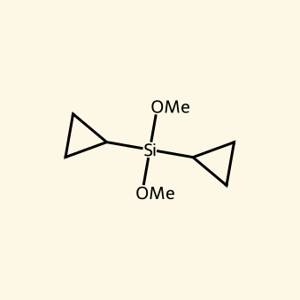 CO[Si](OC)(C1CC1)C1CC1